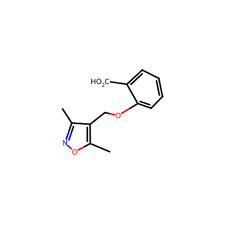 Cc1noc(C)c1COc1ccccc1C(=O)O